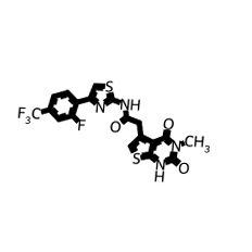 Cn1c(=O)[nH]c2scc(CC(=O)Nc3nc(-c4ccc(C(F)(F)F)cc4F)cs3)c2c1=O